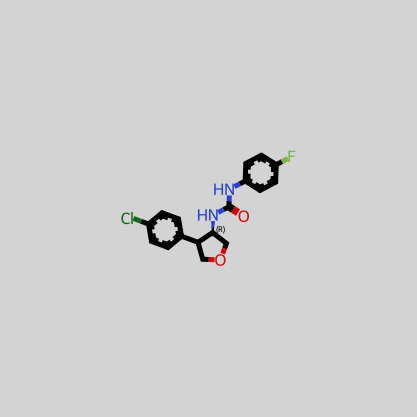 O=C(Nc1ccc(F)cc1)N[C@H]1COCC1c1ccc(Cl)cc1